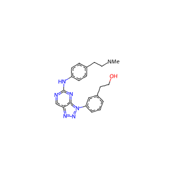 CNCCc1ccc(Nc2ncc3nnn(-c4cccc(CCO)c4)c3n2)cc1